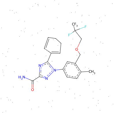 Cc1ccc(-n2nc(C(N)=O)nc2C2=CCCC=C2)cc1COCC(F)(F)C(F)(F)F